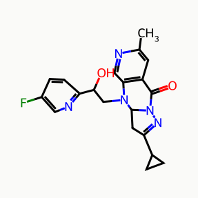 Cc1cc2c(cn1)N(CC(O)c1ccc(F)cn1)C1CC(C3CC3)=NN1C2=O